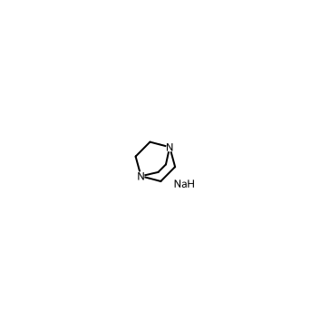 C1CN2CCN1CC2.[NaH]